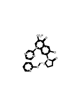 O=C(O)c1cn(-c2cnccn2)c2cc(N3C(=O)CC[C@@H]3COc3ccccn3)c(Cl)cc2c1=O